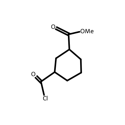 COC(=O)C1CCCC(C(=O)Cl)C1